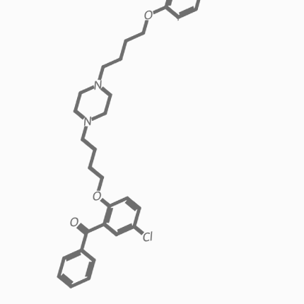 O=C(c1ccccc1)c1cc(Cl)ccc1OCCCCN1CCN(CCCCOc2[c]cc(Cl)cc2)CC1